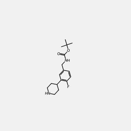 CC(C)(C)OC(=O)NCc1ccc(F)c(C2CCNCC2)c1